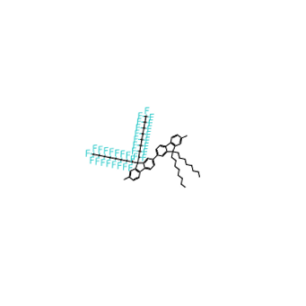 CCCCCCCCC1(CCCCCCCC)c2cc(C)ccc2-c2ccc(-c3ccc4c(c3)C(C(F)(F)C(F)(F)C(F)(F)C(F)(F)C(F)(F)C(F)(F)C(F)(F)C(F)(F)F)(C(F)(F)C(F)(F)C(F)(F)C(F)(F)C(F)(F)C(F)(F)C(F)(F)C(F)(F)F)c3cc(C)ccc3-4)cc21